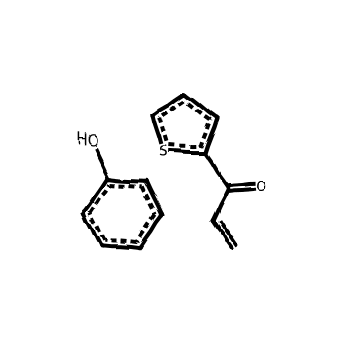 C=CC(=O)c1cccs1.Oc1ccccc1